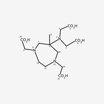 CC1(N(CC(=O)O)CC(=O)O)CN(CC(=O)O)CCN(CC(=O)O)C1